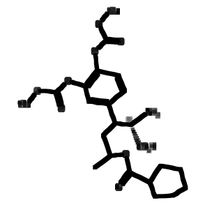 CC(CC(c1ccc(OC(=O)OC(C)(C)C)c(OC(=O)OC(C)(C)C)c1)[C@H](N)C(=O)O)OC(=O)C1CCCCC1